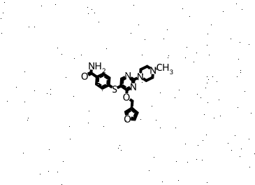 CN1CCN(c2ncc(Sc3ccc(C(N)=O)cc3)c(OCc3ccoc3)n2)CC1